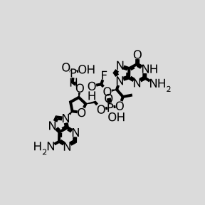 CC(OP(=O)(O)OC[C@H]1O[C@@H](n2cnc3c(N)ncnc32)C[C@H]1OC[PH](=O)O)[C@@H](OC(O)F)n1cnc2c(=O)[nH]c(N)nc21